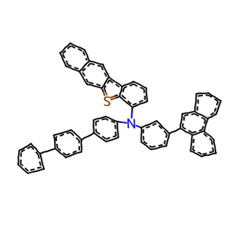 c1ccc(-c2ccc(-c3ccc(N(c4cccc(-c5cc6ccccc6c6ccccc56)c4)c4cccc5c4sc4cc6ccccc6cc45)cc3)cc2)cc1